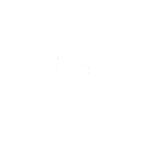 COc1ccc2c(c1)n(C)c(=O)n2C(C=O)CCC(C)=N